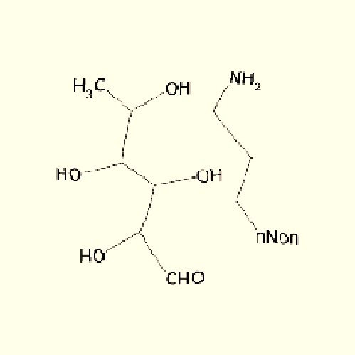 CC(O)C(O)C(O)C(O)C=O.CCCCCCCCCCCCN